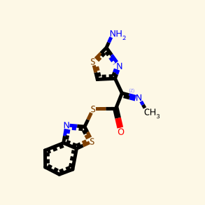 C/N=C(\C(=O)Sc1nc2ccccc2s1)c1csc(N)n1